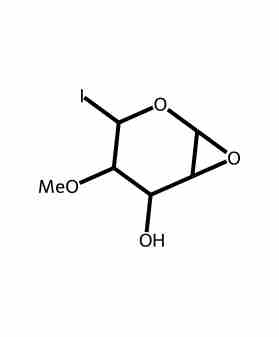 COC1C(I)OC2OC2C1O